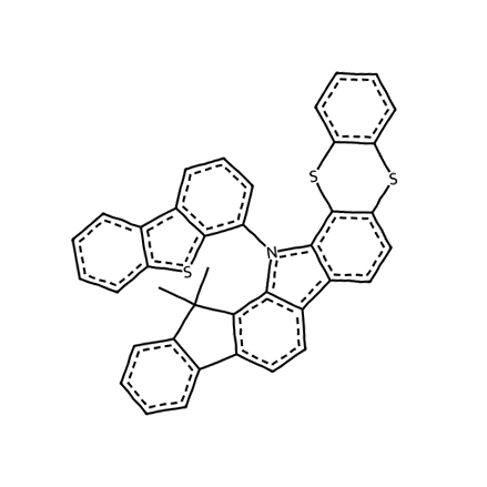 CC1(C)c2ccccc2-c2ccc3c4ccc5c(c4n(-c4cccc6c4sc4ccccc46)c3c21)Sc1ccccc1S5